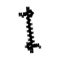 NC1NCCCN1CCCCCCCCCCCCN1CCCNC1N